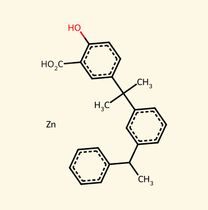 CC(c1ccccc1)c1cccc(C(C)(C)c2ccc(O)c(C(=O)O)c2)c1.[Zn]